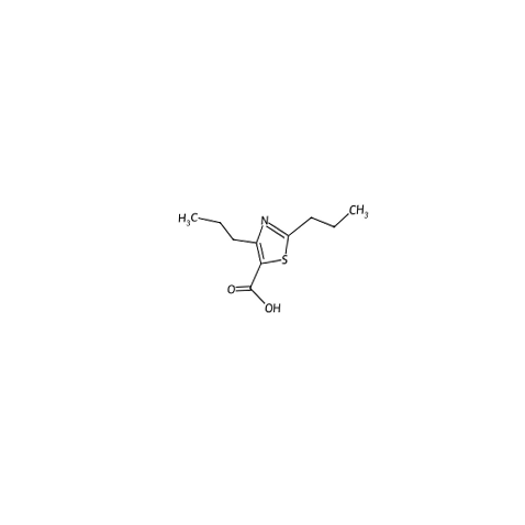 CCCc1nc(CCC)c(C(=O)O)s1